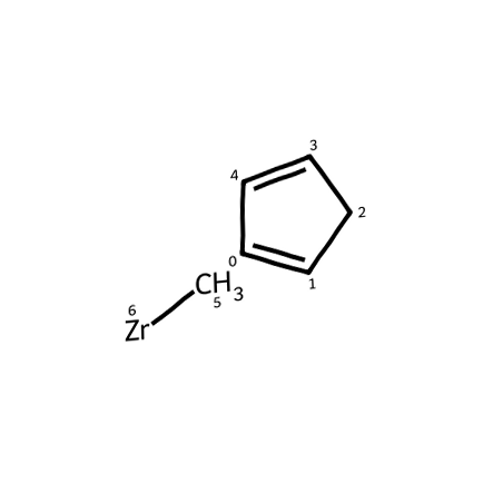 C1=CCC=C1.[CH3][Zr]